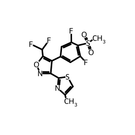 Cc1csc(-c2noc(C(F)F)c2-c2cc(F)c(S(C)(=O)=O)c(F)c2)n1